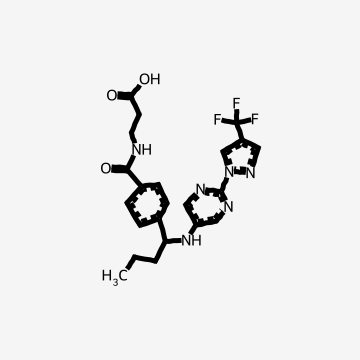 CCCC(Nc1cnc(-n2cc(C(F)(F)F)cn2)nc1)c1ccc(C(=O)NCCC(=O)O)cc1